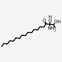 CCCCCCCCCCCCCCCC(=O)C(N)(O)C(C)O